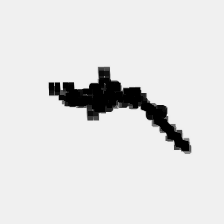 CCCCCCCCCC(=O)OCCSc1nnc(SCC2=C(C(=O)O)N3C(=O)C(NC(=O)Cc4csc(N)n4)[C@H]3SC2)s1